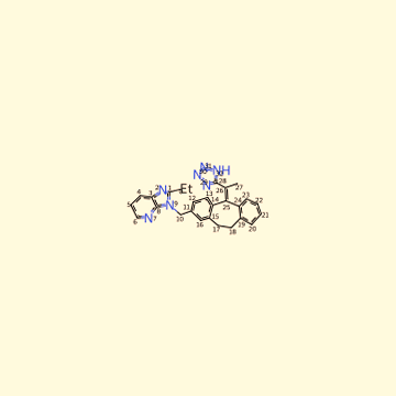 CCc1nc2cccnc2n1Cc1ccc2c(c1)CCc1ccccc1C2=C(C)c1nnn[nH]1